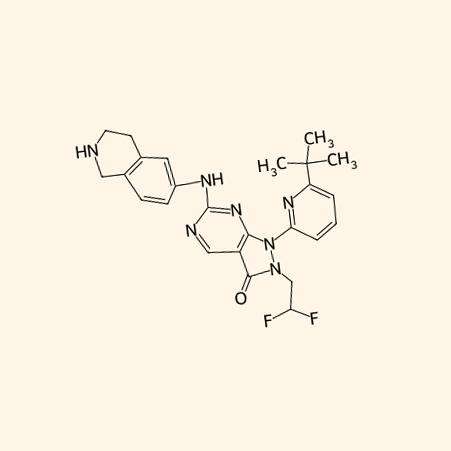 CC(C)(C)c1cccc(-n2c3nc(Nc4ccc5c(c4)CCNC5)ncc3c(=O)n2CC(F)F)n1